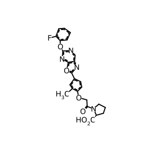 Cc1cc(-c2nc3cnc(Oc4ccccc4F)nc3o2)ccc1OCC(=O)N1CCC[C@H]1C(=O)O